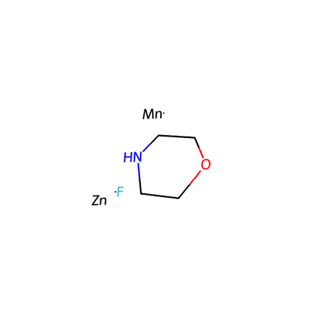 C1COCCN1.[F].[Mn].[Zn]